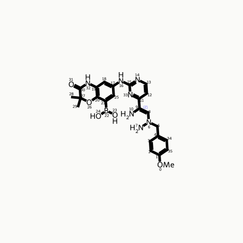 COc1ccc(CN(N)/C=C(\N)c2ccnc(Nc3cc4c(c(B(O)O)c3)OC(C)(C)C(=O)N4)n2)cc1